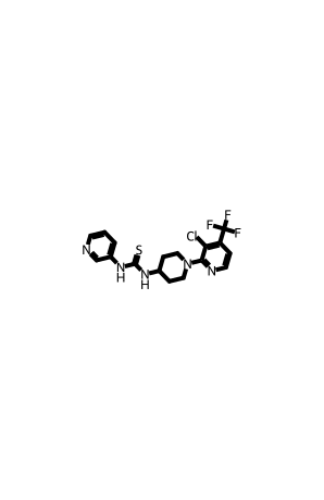 FC(F)(F)c1ccnc(N2CCC(NC(=S)Nc3cccnc3)CC2)c1Cl